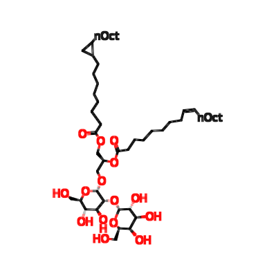 CCCCCCCC/C=C\CCCCCCCC(=O)O[C@H](COC(=O)CCCCCCCC1CC1CCCCCCCC)CO[C@H]1O[C@H](CO)[C@@H](O)[C@H](O)[C@H]1O[C@H]1O[C@H](CO)[C@H](O)[C@H](O)[C@H]1O